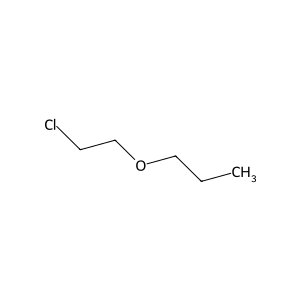 CCCOCCCl